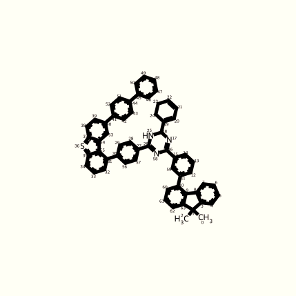 CC1(C)c2ccccc2-c2c(-c3cccc(C4=NC(C5=CC=CCC5)NC(c5ccc(-c6cccc7sc8ccc(-c9ccc(-c%10ccccc%10)cc9)cc8c67)cc5)=N4)c3)cccc21